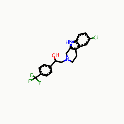 OC(CN1CCc2c([nH]c3ccc(Cl)cc23)C1)c1ccc(C(F)(F)F)cc1